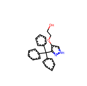 OCCOc1c[nH]nc1C(c1ccccc1)(c1ccccc1)c1ccccc1